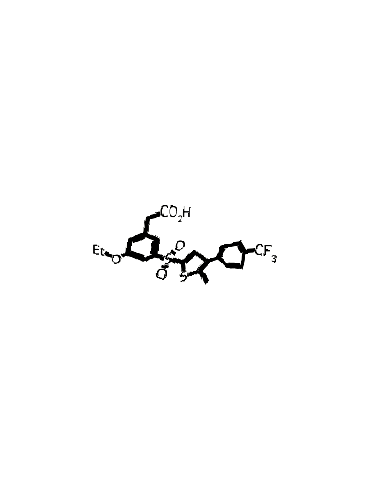 CCOc1cc(CC(=O)O)cc(S(=O)(=O)c2cc(-c3ccc(C(F)(F)F)cc3)c(C)s2)c1